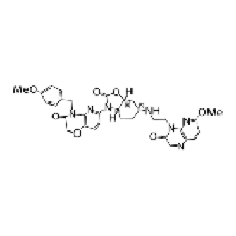 COc1ccc(CN2C(=O)COc3ccc(N4C(=O)O[C@@H]5C[C@@H](NCCn6c(=O)cnc7ccc(OC)nc76)CC[C@@H]54)nc32)cc1